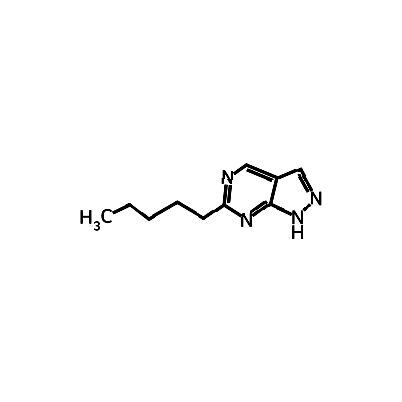 CCCCCc1ncc2cn[nH]c2n1